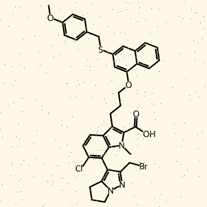 COc1ccc(CSc2cc(OCCCc3c(C(=O)O)n(C)c4c(-c5c(CBr)nn6c5CCC6)c(Cl)ccc34)c3ccccc3c2)cc1